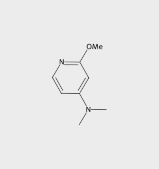 COc1cc(N(C)C)ccn1